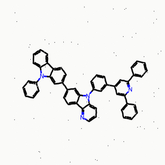 c1ccc(-c2cc(-c3cccc(-n4c5cc(-c6ccc7c8ccccc8n(-c8ccccc8)c7c6)ccc5c5ncccc54)c3)cc(-c3ccccc3)n2)cc1